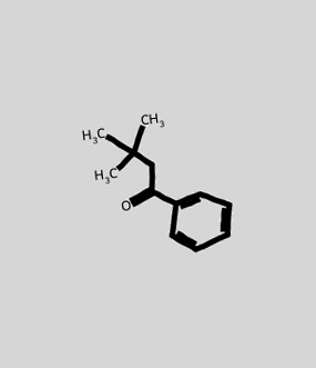 CC(C)(C)CC(=O)c1ccccc1